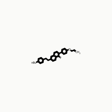 C=CCOc1ccc(-c2ccc3cc(CCc4ccc(CCCC)cc4)ccc3c2F)cc1